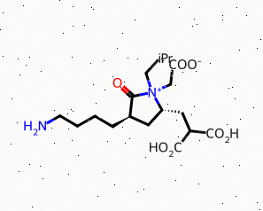 CC(C)C[N+]1(CC(=O)[O-])C(=O)[C@H](CCCCN)C[C@H]1CC(C(=O)O)C(=O)O